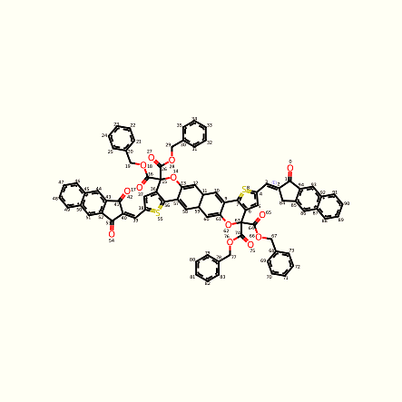 O=C1/C(=C/c2cc3c(s2)C2=CC4C=C5OC(C(=O)OCc6ccccc6)(C(=O)OCc6ccccc6)c6cc(C=C7C(=O)c8cc9ccccc9cc8C7=O)sc6C5=CC4C=C2OC3(C(=O)OCc2ccccc2)C(=O)OCc2ccccc2)Cc2cc3ccccc3cc21